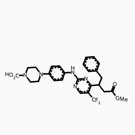 COC(=O)CC(Cc1ccccc1)c1nc(Nc2ccc(N3CCN(C(=O)O)CC3)cc2)ncc1C(F)(F)F